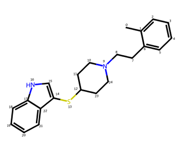 Cc1ccccc1CCN1CCC(Sc2c[nH]c3ccccc23)CC1